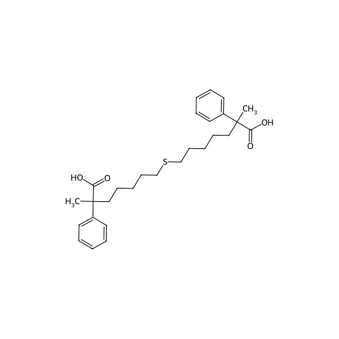 CC(CCCCCSCCCCCC(C)(C(=O)O)c1ccccc1)(C(=O)O)c1ccccc1